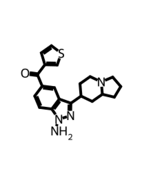 Nn1nc(C2CCN3CCCC3C2)c2cc(C(=O)c3ccsc3)ccc21